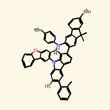 Cc1ccccc1-c1cc2c3ccc(-c4cc5c(cc4Nc4ccc(C(C)(C)C)cc4)-c4ccc(C(C)(C)C)cc4C5(C)C)c4c3n(c2cc1S)-c1cc2c(cc1B4)oc1ccccc12